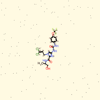 CC(CO)NC(=O)c1nc(NC(=O)Nc2ccc(OC(F)(F)F)cc2)cn1CC=C(Cl)Cl